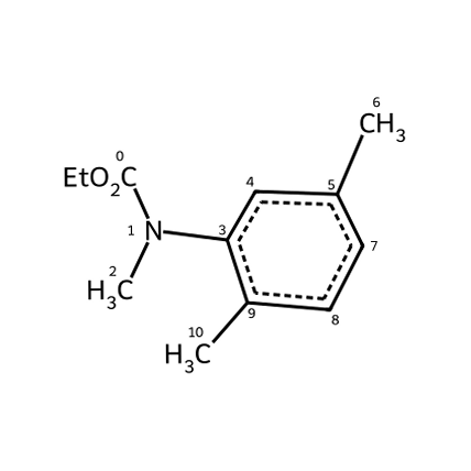 CCOC(=O)N(C)c1cc(C)ccc1C